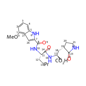 COc1cccc2[nH]c(C(=O)N[C@@H](CC(C)C)C(=O)N[C@@H](C[C@@H]3CCNC3=O)C(=O)O)cc12